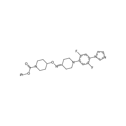 CC(C)OC(=O)N1CCC(ON=C2CCN(c3cc(F)c(-n4ccnc4)cc3F)CC2)CC1